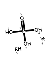 O=P(O)(O)O.[KH].[Yb]